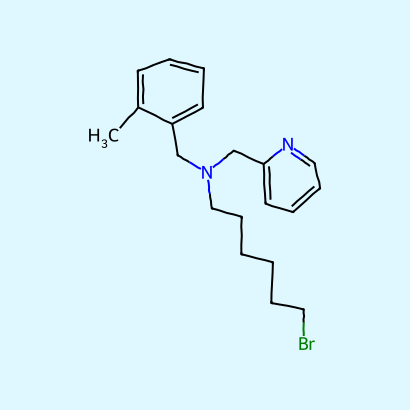 Cc1ccccc1CN(CCCCCCBr)Cc1ccccn1